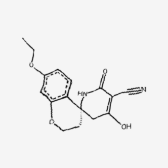 CCOc1ccc2c(c1)OCC[C@]21CC(O)=C(C#N)C(=O)N1